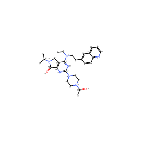 CCN(CCc1ccc2ncccc2c1)c1nc(N2CCN(C(C)=O)CC2)nc2c1CN(C(C)C)C2=O